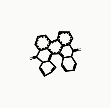 O=C1c2cccc3c2c(c2c4c(cccc43)C(=O)C3C=CC=CC=23)=C2C=CC=CC12